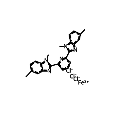 Cc1ccc2c(c1)nc(-c1cccc(-c3nc4cc(C)ccc4n3C)n1)n2C.[Cl-].[Cl-].[Cl-].[Fe+3]